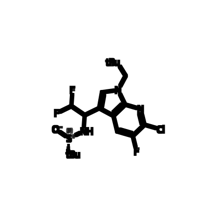 CC(C)(C)Cn1cc(C(N[S@@+]([O-])C(C)(C)C)C(F)F)c2cc(F)c(Cl)nc21